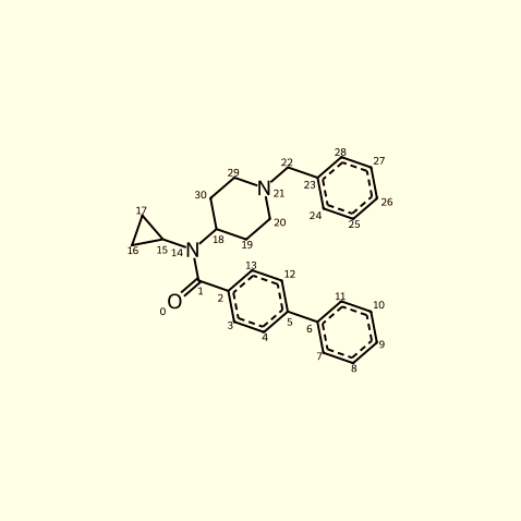 O=C(c1ccc(-c2ccccc2)cc1)N(C1CC1)C1CCN(Cc2ccccc2)CC1